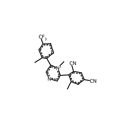 Cc1cc(C(F)(F)F)ccc1-c1cncc(-c2c(C)cc(C#N)cc2C#N)[n+]1C